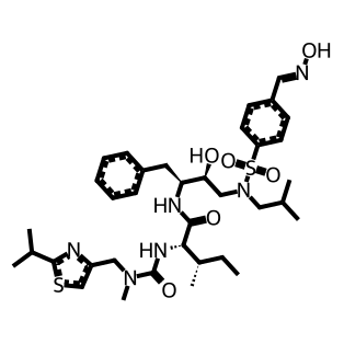 CC[C@H](C)[C@H](NC(=O)N(C)Cc1csc(C(C)C)n1)C(=O)N[C@@H](Cc1ccccc1)[C@@H](O)CN(CC(C)C)S(=O)(=O)c1ccc(C=NO)cc1